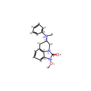 COn1c(=O)n2c3c(cccc31)C[C@@H](N(C)c1ccccc1)C2